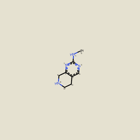 CC(C)Nc1ncc2c(n1)CNCC2